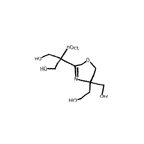 CCCCCCCCC(CO)(CO)C1=NC(CO)(CO)CO1